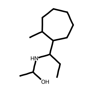 CCC(NC(C)O)C1CCCCCC1C